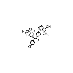 C[C@@H]1C[C@@H](O)c2ncnc(N3CCN(C(=O)C(c4ccc(Cl)cc4)N4CCC(N(C)C)C(F)C4)CC3)c21